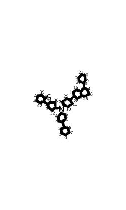 c1ccc(-c2ccc(N(c3ccc(-c4ccc5c(-c6ccccc6)cccc5c4)cc3)c3ccc4c(c3)sc3ccccc34)cc2)cc1